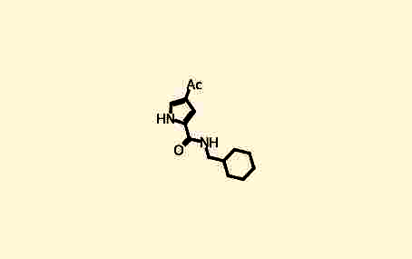 CC(=O)c1c[nH]c(C(=O)NCC2CCCCC2)c1